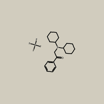 F[B-](F)(F)F.O=C(CP(C1CCCCC1)C1CCCCC1)c1ccccc1